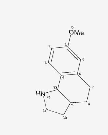 COc1ccc2c(c1)CCC1CCNC21